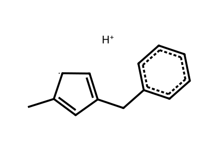 CC1=CC(Cc2ccccc2)=C[CH]1.[H+]